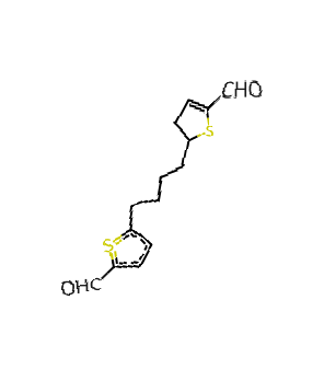 O=CC1=CCC(CCCCc2ccc(C=O)s2)S1